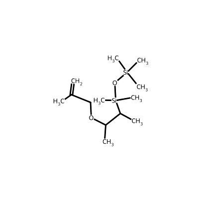 C=C(C)COC(C)C(C)[Si](C)(C)O[Si](C)(C)C